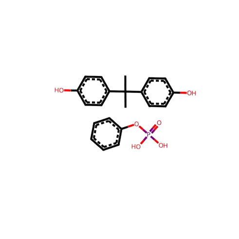 CC(C)(c1ccc(O)cc1)c1ccc(O)cc1.O=P(O)(O)Oc1ccccc1